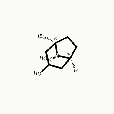 CC(C)(C)[C@@]12CC[C@@H](CC(O)C1)N2C(=O)O